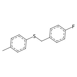 Cc1ccc(SCc2ccc(F)cc2)cc1